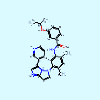 Cc1cc(C)c(-n2ccc3ncc(-c4cccnc4)n32)cc1NC(=O)c1cccc(OC(C)C)c1